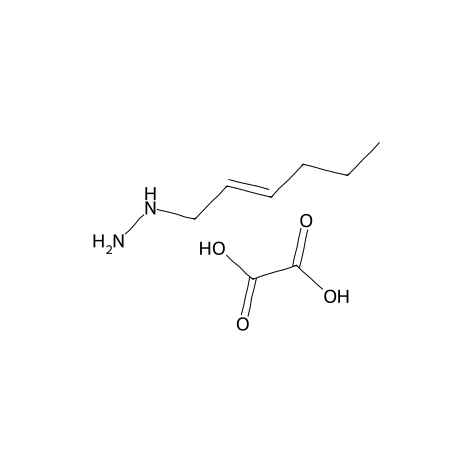 CCCC=CCNN.O=C(O)C(=O)O